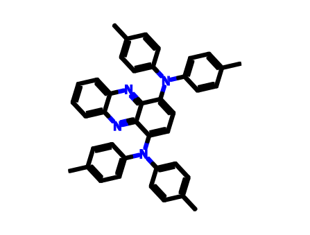 Cc1ccc(N(c2ccc(C)cc2)c2ccc(N(c3ccc(C)cc3)c3ccc(C)cc3)c3nc4ccccc4nc23)cc1